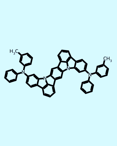 Cc1cccc(N(c2ccccc2)c2ccc3c4cccc5c6cc7c(cc6n(c3c2)c45)c2cccc3c4ccc(N(c5ccccc5)c5cccc(C)c5)cc4n7c32)c1